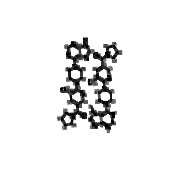 Cn1cnc2ncnc(N3CCN(c4ncc(C(=O)N5CCCC5)cc4Cl)CC3)c21.O=C(c1cnc(N2CCN(c3ncnc4[nH]cnc34)CC2)c(Cl)c1)N1CCCC1